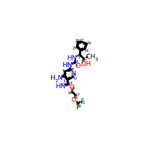 C[C@H](O)[C@@H](NC(=O)Nc1cc(N)c(C(=N)OCCOC(F)F)cn1)c1ccccc1